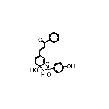 O=C(C=CC1=CCC(O)(NS(=O)(=O)c2ccc(O)cc2)C=C1)c1ccccc1